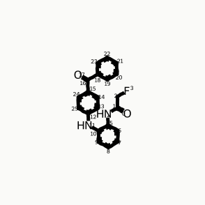 O=C(CF)Nc1ccccc1Nc1ccc(C(=O)c2ccccc2)cc1